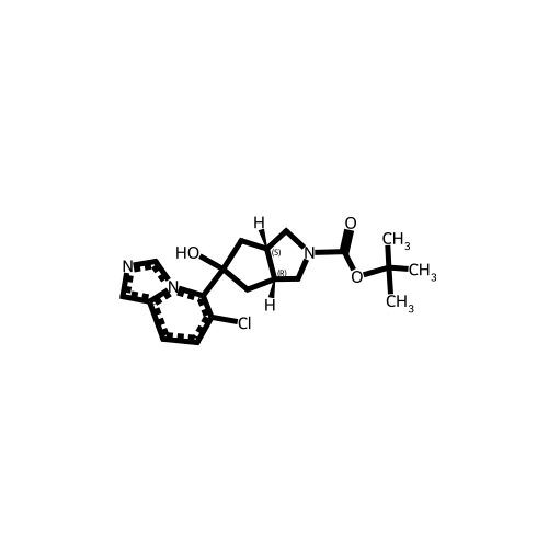 CC(C)(C)OC(=O)N1C[C@@H]2CC(O)(c3c(Cl)ccc4cncn34)C[C@@H]2C1